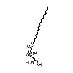 CCCCCCCCCCCCCCCCCCOC[C@@H](COP(=O)(O)OC[C@H](N)C(=O)O)OC